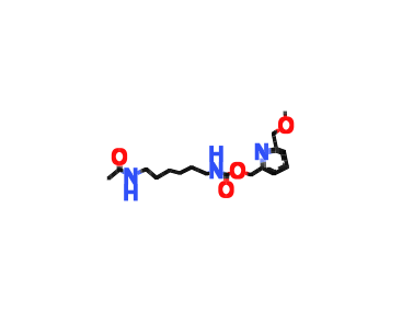 COCc1cccc(COC(=O)NCCCCCCNC(C)=O)n1